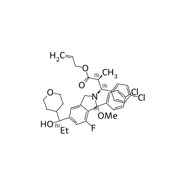 C=CCOC(=O)[C@@H](C)[C@@H](c1ccc(Cl)cc1)N1Cc2cc([C@](O)(CC)C3CCOCC3)cc(F)c2[C@]1(OC)c1ccc(Cl)cc1